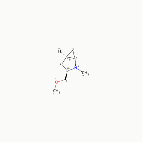 COC[C@H]1C[C@H]2CC2N1C